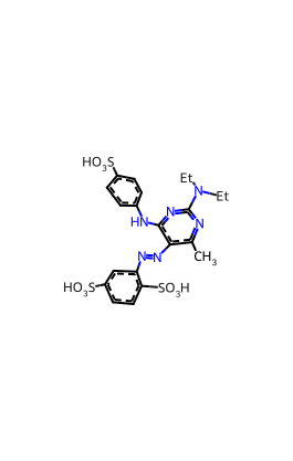 CCN(CC)c1nc(C)c(/N=N/c2cc(S(=O)(=O)O)ccc2S(=O)(=O)O)c(Nc2ccc(S(=O)(=O)O)cc2)n1